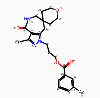 CCc1nn(CCCOC(=O)c2cccc(C(C)=O)c2)c2c1C(=O)NCC1(CCOCC1)C2